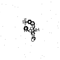 O=C(CN1CCc2ccc(C(F)(F)F)cc2C1)NC1CN(C2CCOC2)C[C@@H]1OCc1ccccn1